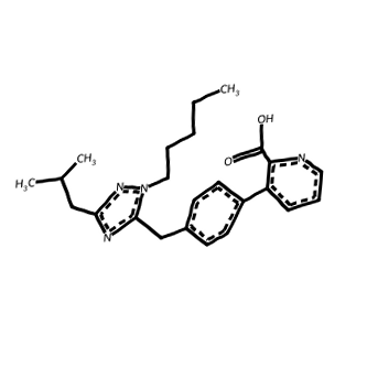 CCCCCn1nc(CC(C)C)nc1Cc1ccc(-c2cccnc2C(=O)O)cc1